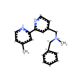 Cc1ccnc(-c2cc(CN(C)Cc3ccccc3)ccn2)c1